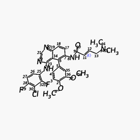 COc1ccc(-c2c(NC(=O)/C=C/CN(C)C)ccc3ncnc(Nc4ccc(F)c(Cl)c4F)c23)cc1OC